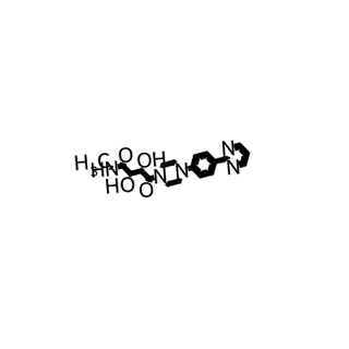 CNC(=O)[C@H](O)[C@@H](O)C(=O)N1CCN(c2ccc(-c3ncccn3)cc2)CC1